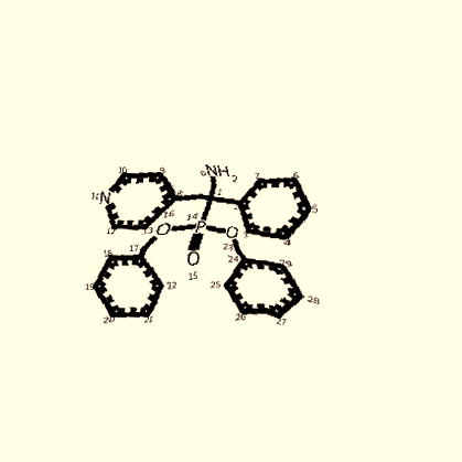 NC(c1ccccc1)(c1ccncc1)P(=O)(Oc1ccccc1)Oc1ccccc1